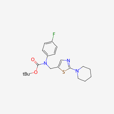 CC(C)(C)OC(=O)N(Cc1cnc(N2CCCCC2)s1)c1ccc(F)cc1